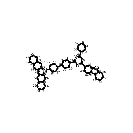 c1ccc(-c2nc(-c3ccc(-c4ccc(-n5c6cc7ccccc7cc6c6cc7ccccc7cc65)cc4)cc3)nc(-c3ccc4c(c3)oc3ccccc34)n2)cc1